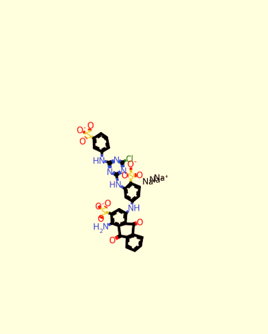 Nc1c(S(=O)(=O)[O-])cc(Nc2ccc(S(=O)(=O)[O-])c(Nc3nc(Cl)nc(Nc4cccc(S(=O)(=O)[O-])c4)n3)c2)c2c1C(=O)c1ccccc1C2=O.[Na+].[Na+].[Na+]